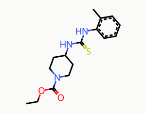 CCOC(=O)N1CCC(NC(=S)Nc2ccccc2C)CC1